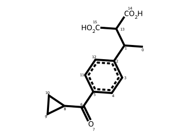 CC(c1ccc(C(=O)C2CC2)cc1)C(C(=O)O)C(=O)O